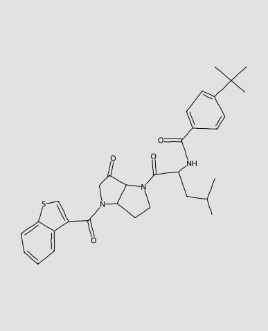 CC(C)CC(NC(=O)c1ccc(C(C)(C)C)cc1)C(=O)N1CCC2C1C(=O)CN2C(=O)c1csc2ccccc12